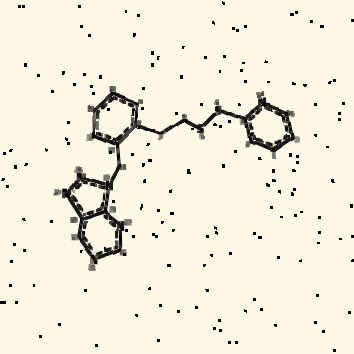 c1ccc(SSCCc2ccccc2Cn2nnc3cncnc32)nc1